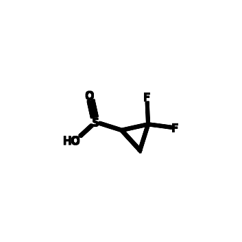 O=S(O)C1CC1(F)F